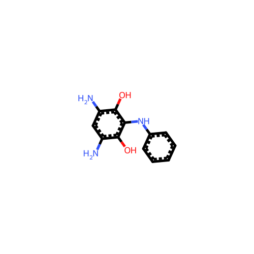 Nc1cc(N)c(O)c(Nc2ccccc2)c1O